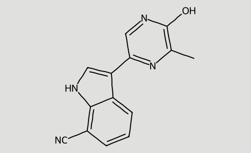 Cc1nc(-c2c[nH]c3c(C#N)cccc23)cnc1O